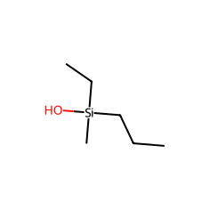 CCC[Si](C)(O)CC